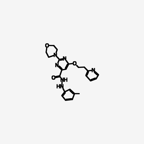 Cc1cccc(NNC(=O)c2cc(OCCc3ccccn3)nc(N3CCOCC3)n2)c1